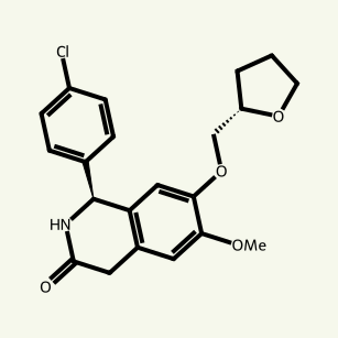 COc1cc2c(cc1OC[C@@H]1CCCO1)[C@H](c1ccc(Cl)cc1)NC(=O)C2